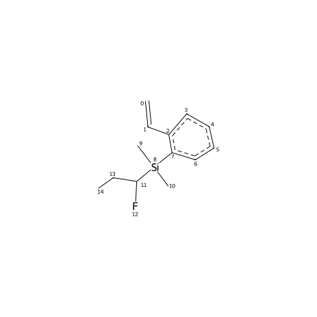 C=Cc1ccccc1[Si](C)(C)C(F)CC